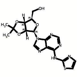 CC1(C)O[C@@H]2[C@H](O1)[C@@H](CO)O[C@H]2n1cnc2c(Nc3nccs3)ncnc21